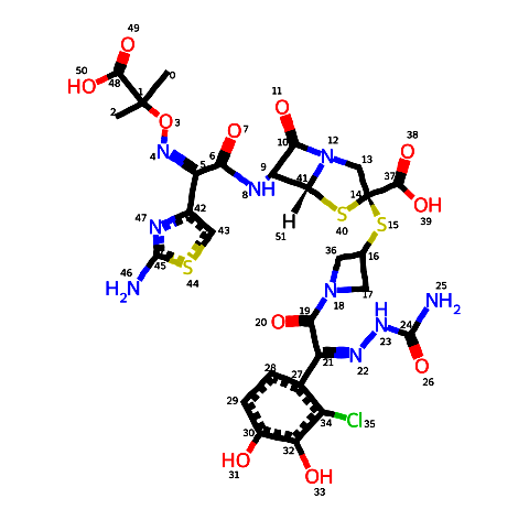 CC(C)(O/N=C(\C(=O)N[C@@H]1C(=O)N2C[C@](SC3CN(C(=O)/C(=N\NC(N)=O)c4ccc(O)c(O)c4Cl)C3)(C(=O)O)S[C@H]12)c1csc(N)n1)C(=O)O